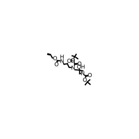 C=CCOC(=O)NC[C@@H](O)CN(CC1(O)CN(C(=O)OC(C)(C)C)C1)C(=O)OC(C)(C)C